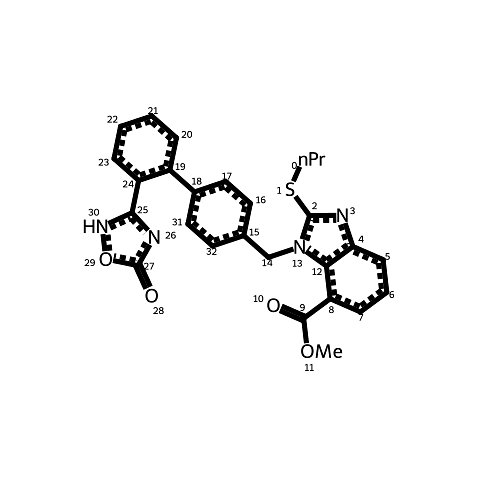 CCCSc1nc2cccc(C(=O)OC)c2n1Cc1ccc(-c2ccccc2-c2nc(=O)o[nH]2)cc1